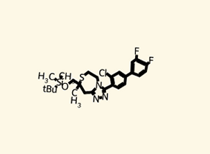 CC1(CO[Si](C)(C)C(C)(C)C)Cc2nnc(-c3ccc(-c4ccc(F)c(F)c4)cc3Cl)n2CCS1